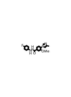 COc1cc(C(=O)NNc2ccc(F)cc2)ccc1-n1cnc(C)c1